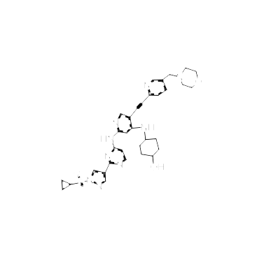 O=S(=O)(C1CC1)n1cc(-c2nccc(Nc3cc(NC4CCC(O)CC4)c(C#Cc4ccc(CN5CCOCC5)cn4)cn3)n2)cn1